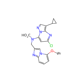 CC(C)Oc1cccc2nc(CN(C(=O)O)c3cc(Cl)nc4c(C5CC5)cnn34)cn12